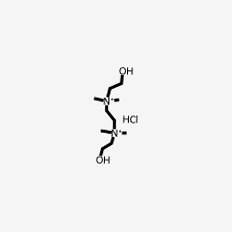 C[N+](C)(CCO)CC[N+](C)(C)CCO.Cl